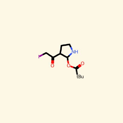 CC(C)(C)C(=O)OC1NCCC1C(=O)CI